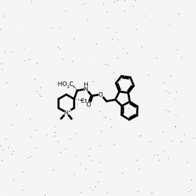 CC[C@@]1([C@@H](NC(=O)OCC2c3ccccc3-c3ccccc32)C(=O)O)CCC[N+](C)(C)C1